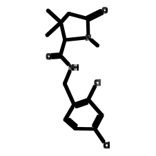 CN1C(=O)CC(C)(C)C1C(=O)NCc1ccc(Cl)cc1Cl